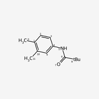 Cc1ccc(NC(=O)C(C)(C)C)cc1C